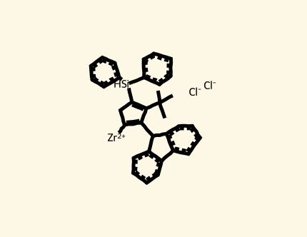 CC(C)(C)C1=C([SiH](c2ccccc2)c2ccccc2)C[C]([Zr+2])=C1C1c2ccccc2-c2ccccc21.[Cl-].[Cl-]